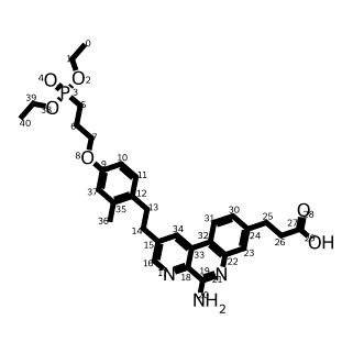 CCOP(=O)(CCCOc1ccc(CCc2cnc3c(N)nc4cc(CCC(=O)O)ccc4c3c2)c(C)c1)OCC